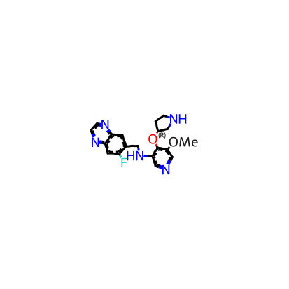 COc1cncc(NCc2cc3nccnc3cc2F)c1O[C@@H]1CCNC1